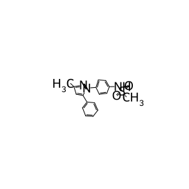 Cc1cc(-c2ccccc2)n(-c2ccc(NS(C)(=O)=O)cc2)n1